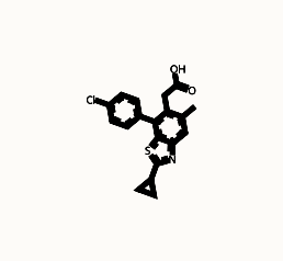 Cc1cc2nc(C3CC3)sc2c(-c2ccc(Cl)cc2)c1CC(=O)O